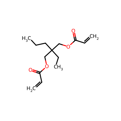 C=CC(=O)OCC(CC)(CCC)COC(=O)C=C